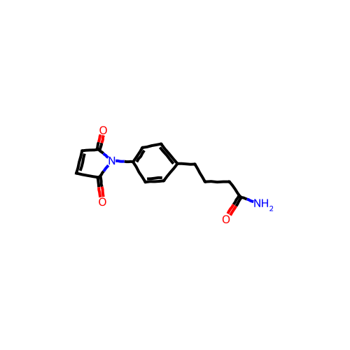 NC(=O)CCCc1ccc(N2C(=O)C=CC2=O)cc1